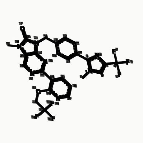 Cn1cc(C(F)(F)F)nc1-c1ccc(Cn2c(=O)n(C)c3cnc(-c4cccnc4OCC(F)(F)F)nc32)cc1